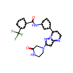 O=C1CN(c2cc3nccc(-c4cccc(NC(=O)c5cccc(C(F)(F)F)c5)c4)n3n2)CCN1